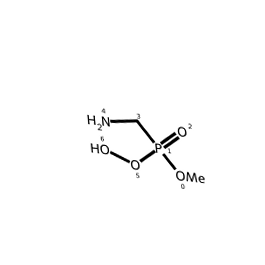 COP(=O)(CN)OO